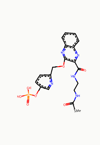 CSC(=O)NCCNC(=O)c1nc2ccccc2nc1OCc1ccc(OP(=O)(O)O)cn1